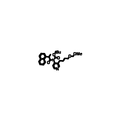 COCOCCCCc1cnccc1N(C(=O)OC(C)(C)C)C(=O)C(C)c1cccc2ccccc12